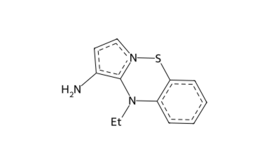 CCN1c2ccccc2Sn2ccc(N)c21